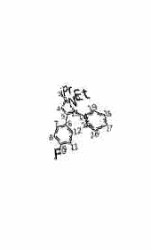 CCn1c(C(C)C)cc(-c2ccc(F)cc2)c1-c1ccccc1